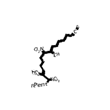 CCCCCC(C(O)CCCCC(C(O)CCCCCC=C=O)[N+](=O)[O-])[N+](=O)[O-]